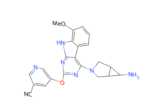 COc1cccc2c1[nH]c1nc(Oc3cncc(C#N)c3)nc(N3CC4C(N)C4C3)c12